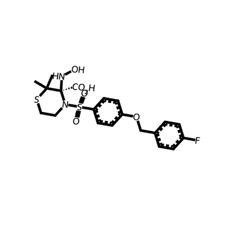 CC1(C)SCCN(S(=O)(=O)c2ccc(OCc3ccc(F)cc3)cc2)[C@@]1(NO)C(=O)O